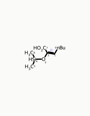 CCCC/C=C(/O[SiH](C)C)C(=O)O